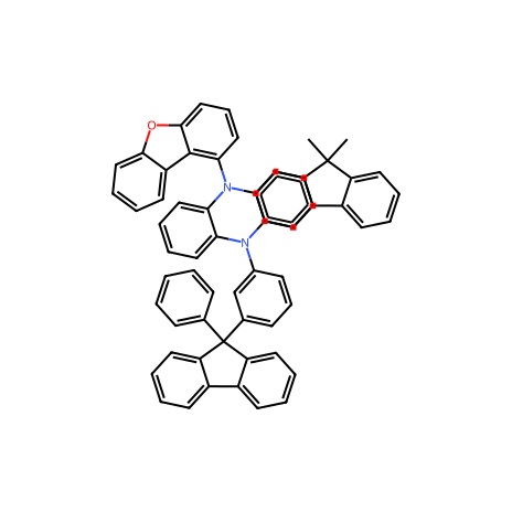 CC1(C)c2ccccc2-c2ccc(N(c3ccccc3N(c3ccccc3)c3cccc(C4(c5ccccc5)c5ccccc5-c5ccccc54)c3)c3cccc4oc5ccccc5c34)cc21